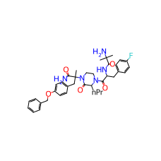 CCCC1C(=O)N(C(C)(Cc2ccc(OCc3ccccc3)cc2)C(N)=O)CCN1C(=O)C(Cc1ccc(F)cc1)NC(=O)C(C)(C)N